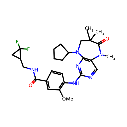 COc1cc(C(=O)NCC2CC2(F)F)ccc1Nc1ncc2c(n1)N(C1CCCC1)CC(C)(C)C(=O)N2C